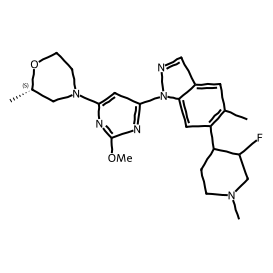 COc1nc(N2CCO[C@@H](C)C2)cc(-n2ncc3cc(C)c(C4CCN(C)CC4F)cc32)n1